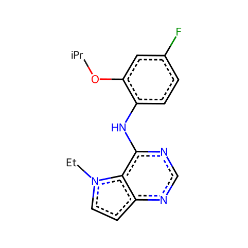 CCn1ccc2ncnc(Nc3ccc(F)cc3OC(C)C)c21